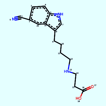 N#Cc1ccc2[nH]cc(CCCCNCCC(=O)O)c2c1